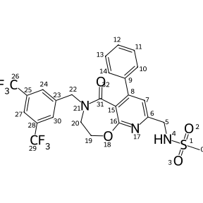 CS(=O)(=O)NCc1cc(-c2ccccc2)c2c(n1)OCCN(Cc1cc(C(F)(F)F)cc(C(F)(F)F)c1)C2=O